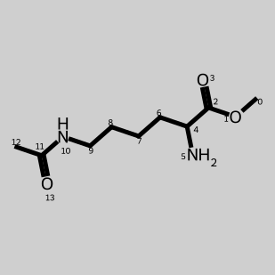 COC(=O)C(N)CCCCNC(C)=O